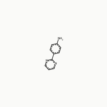 Nc1ccc(-c2n[c]ccn2)cc1